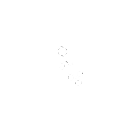 CCCCOC(=O)OCC(CCC)OC(=O)c1ccc(C)cc1